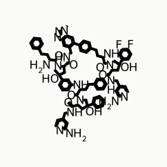 Cn1nnc2cc(CNC(=O)C3CC(O)(c4cccc(NC(CCc5ccccc5)C(=O)N5CC(O)(c6ccccc6)CC5C(=O)NCc5ccnc(N)c5)c4)CN3C(=O)C(N)CCc3ccccc3)c(-c3ccc(CCC(N)C(=O)N4CC(O)(c5ccc(F)c(F)c5)CC4C(=O)NCc4ccnc(N)c4)cc3)cc21